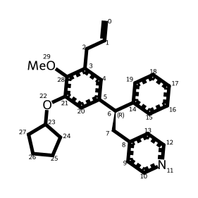 C=CCc1cc([C@H](Cc2ccncc2)c2ccccc2)cc(OC2CCCC2)c1OC